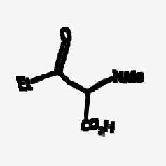 CCC(=O)C(NC)C(=O)O